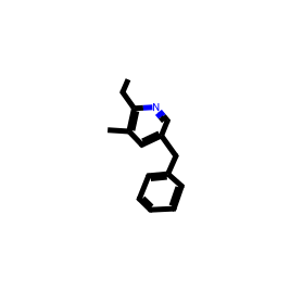 CCc1ncc(Cc2ccccc2)cc1C